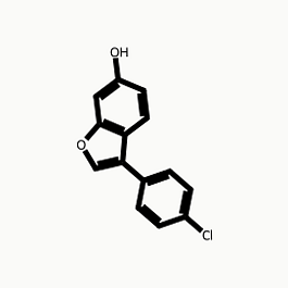 Oc1ccc2c(-c3ccc(Cl)cc3)coc2c1